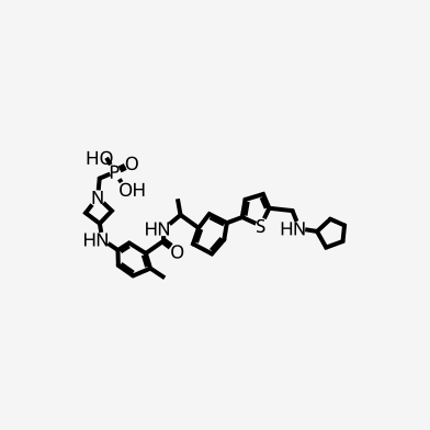 Cc1ccc(NC2CN(CP(=O)(O)O)C2)cc1C(=O)NC(C)c1cccc(-c2ccc(CNC3CCCC3)s2)c1